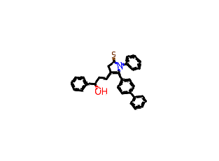 OC(CCC1CC(=S)N(c2ccccc2)C1c1ccc(-c2ccccc2)cc1)c1ccccc1